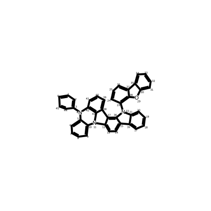 c1ccc(N2c3ccccc3-n3c4ccc5c6ccccc6n(-c6cccc7c6oc6ccccc67)c5c4c4cccc2c43)cc1